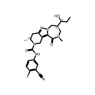 CC[C@H](O)[C@H]1CN(C)C(=O)c2c3c(nn2C1)C[C@@H](C)N(C(=O)Nc1ccc(F)c(C#N)c1)C3